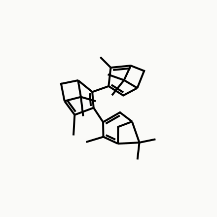 CC1=C2CC(C=C1C1=C(C3=CC4CC(=C3C)C4(C)C)C3CC(=C1C)C3(C)C)C2(C)C